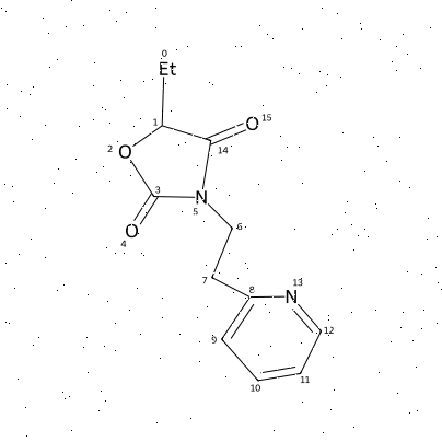 CCC1OC(=O)N(CCc2ccccn2)C1=O